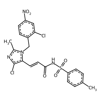 Cc1ccc(S(=O)(=O)NC(=O)C=Cc2c(Cl)nc(C)n2Cc2ccc([N+](=O)[O-])cc2Cl)cc1